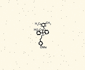 COc1ccc(CCCOC(c2ccccc2)(c2ccccc2)C(Oc2nc(C)cc(C)n2)C(=O)O)cc1